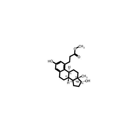 COC(=O)CCc1cc(O)cc2c1[C@H]1CC[C@]3(C)[C@H](O)CC[C@H]3[C@@H]1CC2